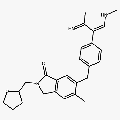 CN/C=C(\C(C)=N)c1ccc(Cc2cc3c(cc2C)CN(CC2CCCO2)C3=O)cc1